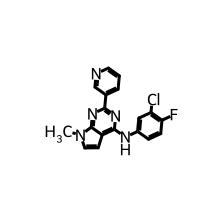 Cn1ccc2c(Nc3ccc(F)c(Cl)c3)nc(-c3cccnc3)nc21